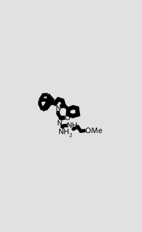 COCCCN/C(N)=N\C(=O)Cn1c(-c2ccccc2)ccc1C12CC3CC(CC(C3)C1)C2